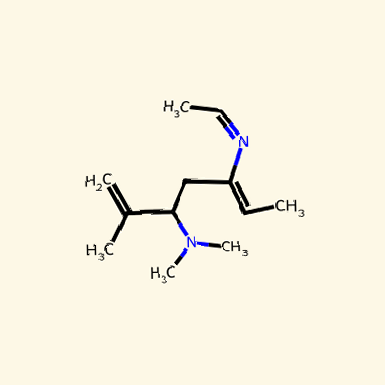 C=C(C)C(CC(=C/C)/N=C\C)N(C)C